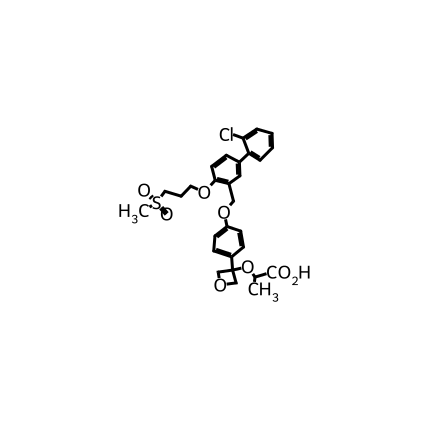 CC(OC1(c2ccc(OCc3cc(-c4ccccc4Cl)ccc3OCCCS(C)(=O)=O)cc2)COC1)C(=O)O